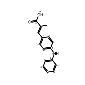 C/C(=C\c1ccc(Nc2ccccc2)cc1)C(=O)O